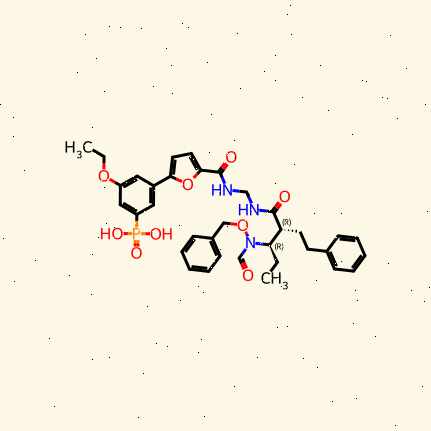 CCOc1cc(-c2ccc(C(=O)NCNC(=O)[C@H](CCc3ccccc3)[C@@H](CC)N(C=O)OCc3ccccc3)o2)cc(P(=O)(O)O)c1